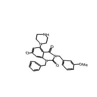 COc1cccc(Cn2c(=O)c3c(N4CCNCC4)cc(Cl)cc3n(Cc3ccccc3)c2=O)c1